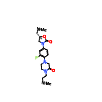 CC(=O)NCCN1CCN(c2ccc(N3C[C@H](CNC(C)=O)OC3=O)cc2F)CC1=O